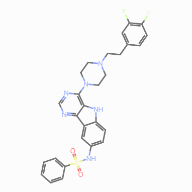 O=S(=O)(Nc1ccc2[nH]c3c(N4CCN(CCc5ccc(F)c(F)c5)CC4)ncnc3c2c1)c1ccccc1